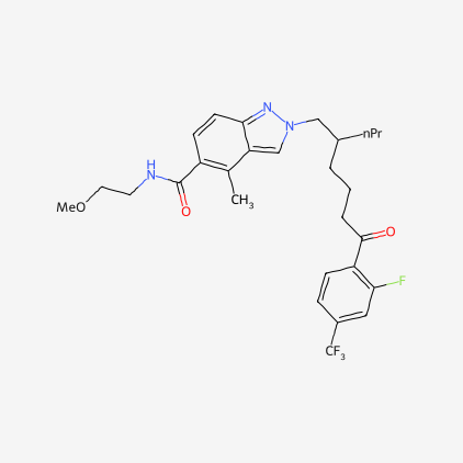 CCCC(CCCC(=O)c1ccc(C(F)(F)F)cc1F)Cn1cc2c(C)c(C(=O)NCCOC)ccc2n1